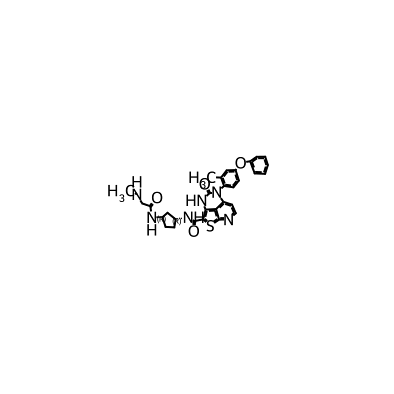 CNCC(=O)N[C@@H]1CC[C@@H](NC(=O)c2sc3nccc4c3c2NC(=O)N4c2ccc(Oc3ccccc3)cc2C)C1